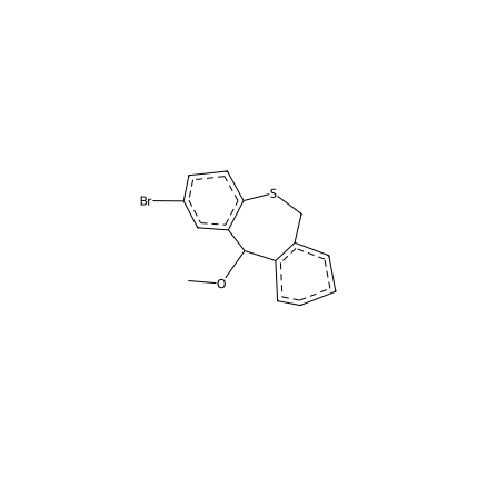 COC1c2ccccc2CSc2ccc(Br)cc21